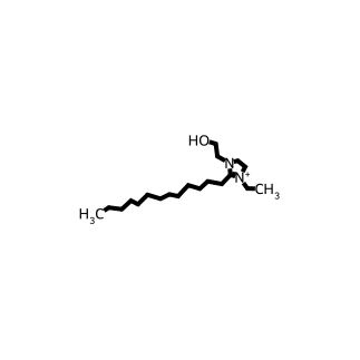 CCCCCCCCCCCCCC1=[N+](CC)CCN1CCO